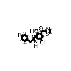 O=C(c1nccs1)c1cc(Cl)c2[nH]c(Cc3ccc(F)cc3)nc2c1O